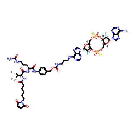 CC(C)[C@H](NC(=O)CCCCCN1C(=O)C=CC1=O)C(=O)N[C@@H](CCCNC(N)=O)C(=O)Nc1ccc(COC(=O)NCCCNc2ncnc3c2ncn3[C@@H]2O[C@@H]3CO[P@@](=O)(S)O[C@H]4[C@@H](F)[C@H](n5cnc6c(N)ncnc65)O[C@@H]4CO[P@@](=O)(S)O[C@H]3[C@H]2F)cc1